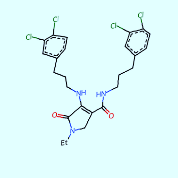 CCN1CC(C(=O)NCCCc2ccc(Cl)c(Cl)c2)=C(NCCCc2ccc(Cl)c(Cl)c2)C1=O